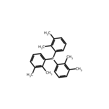 Cc1cccc(P(c2cccc(C)c2C)c2cccc(C)c2C)c1C